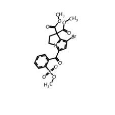 COC(=O)C1(C(=O)OC)CCn2c(C(=O)c3ccccc3S(=O)(=O)OC)cc(Br)c21